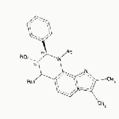 CC(=O)N1c2c(ccn3c(C)c(C)nc23)C(O)[C@H](O)[C@H]1c1ccccc1